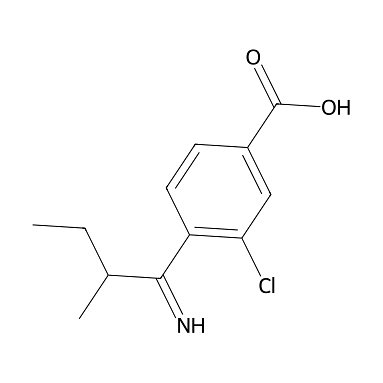 CCC(C)C(=N)c1ccc(C(=O)O)cc1Cl